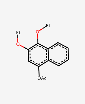 CCOc1cc(OC(C)=O)c2ccccc2c1OCC